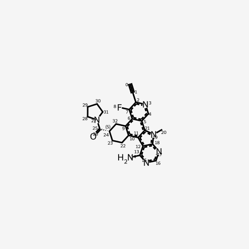 C#Cc1ncc2c(c1F)c1c(c3c4c(N)ncnc4n(C)c23)CC[C@H](C(=O)N2CCCC2)C1